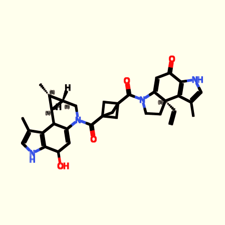 C=C[C@]12CCN(C(=O)C34CC(C(=O)N5C[C@H]6[C@@H](C)[C@@H]6C6C5=CC(O)c5[nH]cc(C)c56)(C3)C4)C1=CC(=O)c1[nH]cc(C)c12